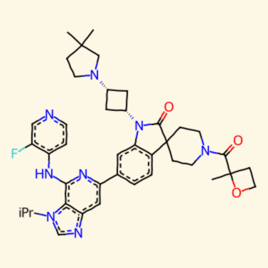 CC(C)n1cnc2cc(-c3ccc4c(c3)N([C@H]3C[C@@H](N5CCC(C)(C)C5)C3)C(=O)C43CCN(C(=O)C4(C)CCO4)CC3)nc(Nc3ccncc3F)c21